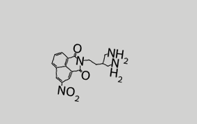 NCC(CN)CCN1C(=O)c2cccc3cc([N+](=O)[O-])cc(c23)C1=O